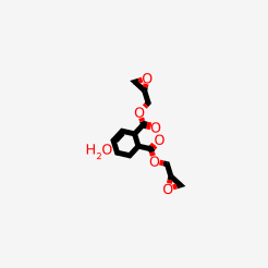 O.O=C(OCC1CO1)C1C=CCCC1C(=O)OCC1CO1